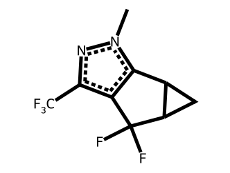 Cn1nc(C(F)(F)F)c2c1C1CC1C2(F)F